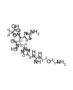 N=C(NCCOCCN)NCc1cnn(CC2C(/C(=N\OC3(C(=O)O)CC3)c3csc(N)n3)C(=O)N2S)n1